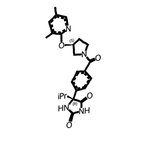 Cc1cnc(O[C@H]2CCN(C(=O)c3ccc([C@@]4(C(C)C)NC(=O)NC4=O)cc3)C2)c(C)c1